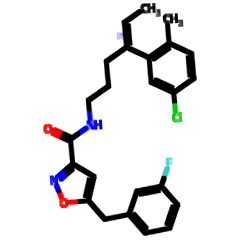 C/C=C(/CCCNC(=O)c1cc(Cc2cccc(F)c2)on1)c1cc(Cl)ccc1C